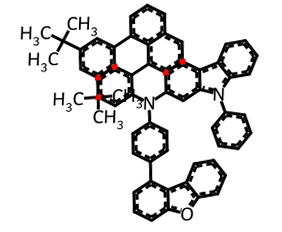 CC(C)(C)c1cc(-c2cccc3cccc(-c4ccccc4N(c4ccc(-c5cccc6oc7ccccc7c56)cc4)c4ccc5c6ccccc6n(-c6ccccc6)c5c4)c23)cc(C(C)(C)C)c1